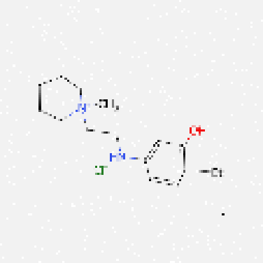 CCc1ccc(NCC[N+]2(C)CCCCC2)cc1O.[Cl-]